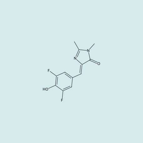 CC1=N/C(=C\c2cc(F)c(O)c(F)c2)C(=O)N1C